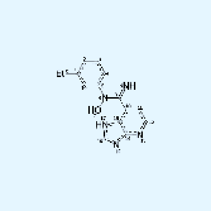 CCc1cccc(N(O)C(=N)c2ccnc3nc[nH]c23)c1